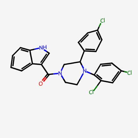 O=C(c1c[nH]c2ccccc12)N1CCN(c2ccc(Cl)cc2Cl)C(c2ccc(Cl)cc2)C1